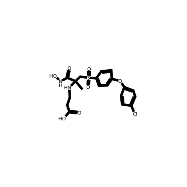 CC(CS(=O)(=O)c1ccc(Oc2ccc(Cl)cc2)cc1)(NCCC(=O)O)C(=O)NO